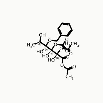 CC(=O)OC(=O)[C@@](O)(OC(C)=O)[C@](O)(OC(C)=O)[C@](O)(OCc1ccccc1)[C@@H](C)O